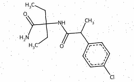 CCC(CC)(NC(=O)C(C)c1ccc(Cl)cc1)C(N)=O